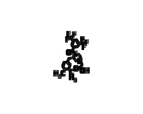 Cc1ccc(C[C@@H]2CN(CC(=O)O)CCN2C(=O)c2cc(C(F)(F)F)cc(C(F)(F)F)c2)cc1C